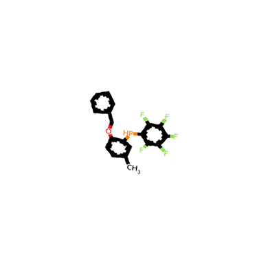 Cc1ccc(OCc2ccccc2)c(Pc2c(F)c(F)c(F)c(F)c2F)c1